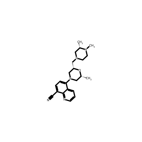 C[C@@H]1CN(c2ccc(C#N)c3ncccc23)C[C@H](CN2CCN(C)[C@@H](C)C2)O1